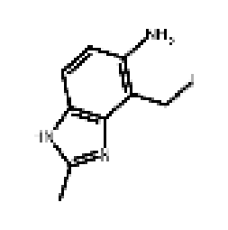 Cc1nc2c(CI)c(N)ccc2[nH]1